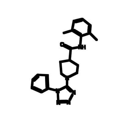 Cc1cccc(C)c1NC(=O)C1CCN(c2nnnn2-c2ccccc2)CC1